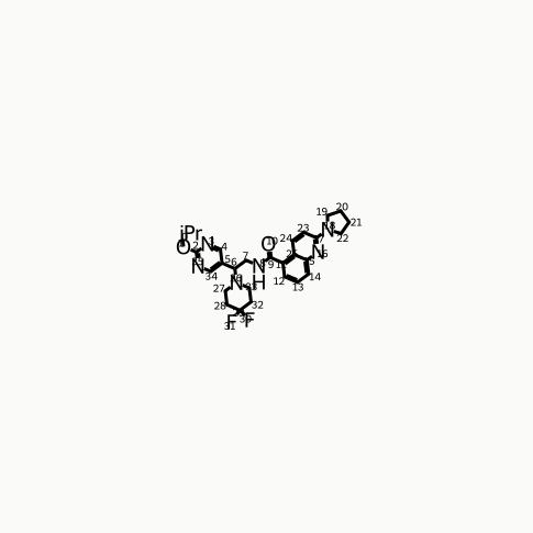 CC(C)Oc1ncc(C(CNC(=O)c2cccc3nc(N4CCCC4)ccc23)N2CCC(F)(F)CC2)cn1